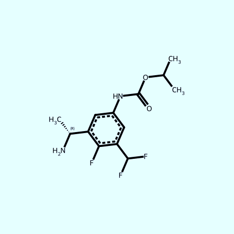 CC(C)OC(=O)Nc1cc(C(F)F)c(F)c([C@@H](C)N)c1